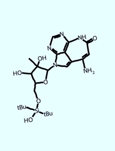 CC1(O)C(O)C(CO[Si](O)(C(C)(C)C)C(C)(C)C)OC1n1cc2c3c(ncnc31)NC(=O)C=C2N